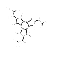 O=C(C(F)=C1C(F)=c2c3c(c4c(c2=C1F)=C(F)C(=C(F)C(=O)C(F)(F)F)C=4F)=C(F)C(=C(F)C(=O)C(F)(F)F)C=3F)C(F)(F)F